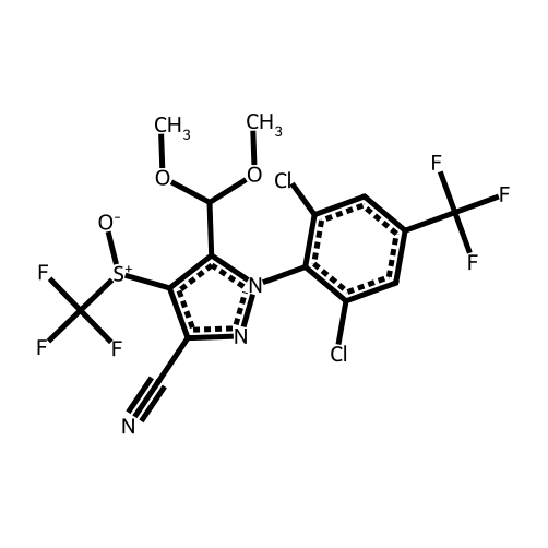 COC(OC)c1c([S+]([O-])C(F)(F)F)c(C#N)nn1-c1c(Cl)cc(C(F)(F)F)cc1Cl